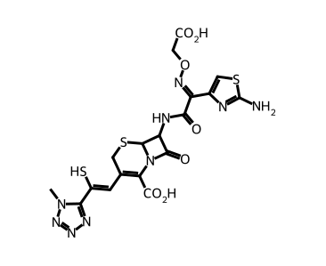 Cn1nnnc1C(S)=CC1=C(C(=O)O)N2C(=O)C(NC(=O)C(=NOCC(=O)O)c3csc(N)n3)C2SC1